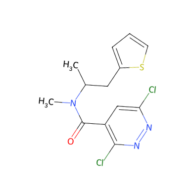 CC(Cc1cccs1)N(C)C(=O)c1cc(Cl)nnc1Cl